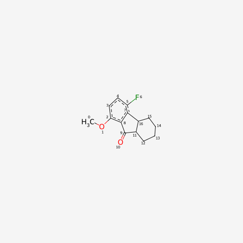 COc1ccc(F)c2c1C(=O)C1CCCCC21